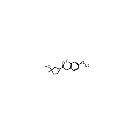 CCOc1ccc(CC(=O)N2CCC(C)(O)C2)c(F)c1